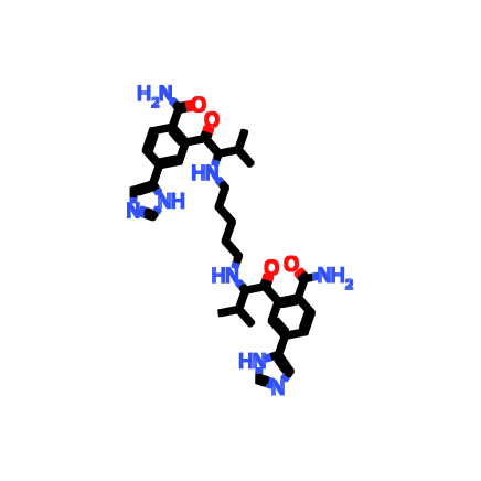 CC(C)C(NCCCCCNC(C(=O)c1cc(-c2cnc[nH]2)ccc1C(N)=O)C(C)C)C(=O)c1cc(-c2cnc[nH]2)ccc1C(N)=O